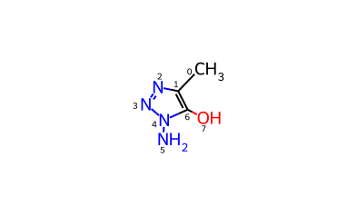 Cc1nnn(N)c1O